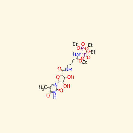 CCOP(=O)(OCC)C(NC(=O)CCCNC(=O)[C@H]1O[C@@H](n2cc(C)c(=O)[nH]c2=O)[C@@H](O)[C@H]1O)P(=O)(OCC)OCC